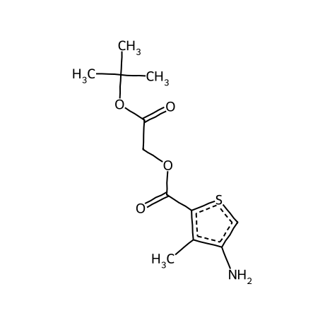 Cc1c(N)csc1C(=O)OCC(=O)OC(C)(C)C